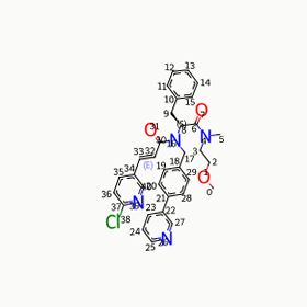 COCCN(C)C(=O)[C@H](Cc1ccccc1)N(Cc1ccc(-c2cccnc2)cc1)C(=O)/C=C/c1ccc(Cl)nc1